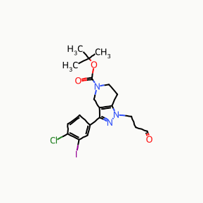 CC(C)(C)OC(=O)N1CCc2c(c(-c3ccc(Cl)c(I)c3)nn2CCC=O)C1